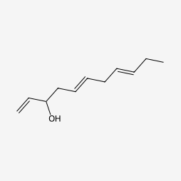 C=CC(O)CC=CCC=CCC